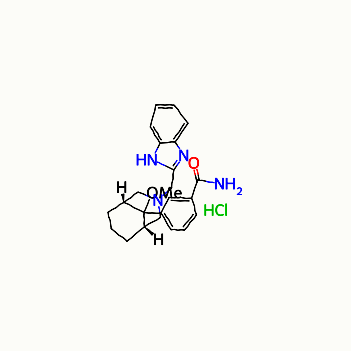 COC1(c2cccc(C(N)=O)c2)[C@@H]2CCC[C@H]1CN(Cc1nc3ccccc3[nH]1)C2.Cl